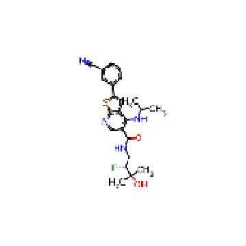 CC(C)Nc1c(C(=O)NC[C@@H](F)C(C)(C)O)cnc2sc(-c3cccc(C#N)c3)cc12